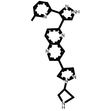 Cc1cccc(-c2n[nH]cc2-c2ccc3ncc(-c4cnn(C5CNC5)c4)cc3n2)n1